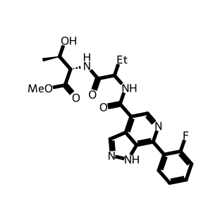 CCC(NC(=O)c1cnc(-c2ccccc2F)c2[nH]ncc12)C(=O)N[C@H](C(=O)OC)[C@@H](C)O